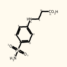 NS(=O)(=O)c1ccc(NCCC(=O)O)cc1